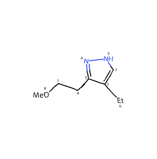 CCc1c[nH]nc1CCOC